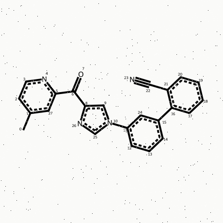 Cc1ccnc(C(=O)c2cn(-c3cccc(-c4ccccc4C#N)c3)cn2)c1